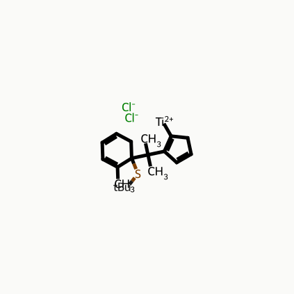 CC1=CC=CCC1(SC(C)(C)C)C(C)(C)C1=[C]([Ti+2])CC=C1.[Cl-].[Cl-]